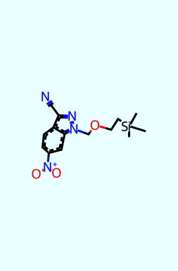 C[Si](C)(C)CCOCn1nc(C#N)c2ccc([N+](=O)[O-])cc21